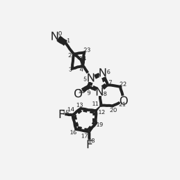 N#CC12CC(n3nc4n(c3=O)[C@H](c3cc(F)cc(F)c3)COC4)(C1)C2